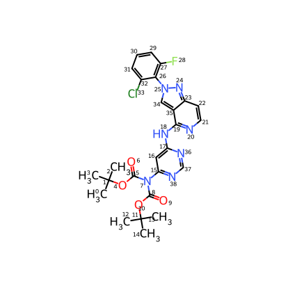 CC(C)(C)OC(=O)N(C(=O)OC(C)(C)C)c1cc(Nc2nccc3nn(-c4c(F)cccc4Cl)cc23)ncn1